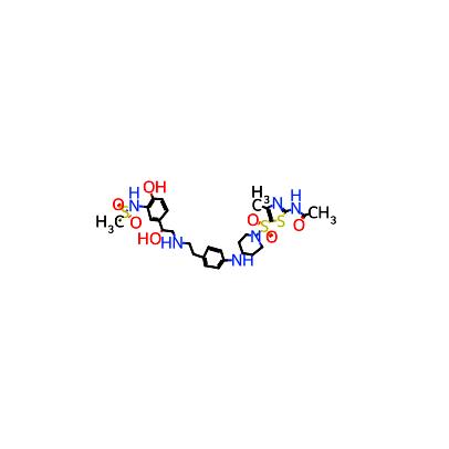 CC(=O)Nc1nc(C)c(S(=O)(=O)N2CCC(Nc3ccc(CCNC[C@@H](O)c4ccc(O)c(NS(C)(=O)=O)c4)cc3)CC2)s1